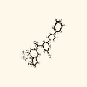 CC1(C)CN(C(=O)c2cc(Cl)nc(N3CCC(c4ccncc4)CC3)c2)Cc2cn[nH]c21